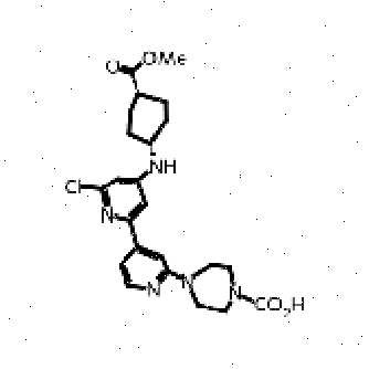 COC(=O)[C@H]1CC[C@H](Nc2cc(Cl)nc(-c3ccnc(N4CCN(C(=O)O)CC4)c3)c2)CC1